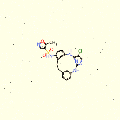 Cc1oncc1S(=O)(=O)Nc1ccc2cc1CCc1cccc(c1)Nc1ncc(Cl)c(n1)N2